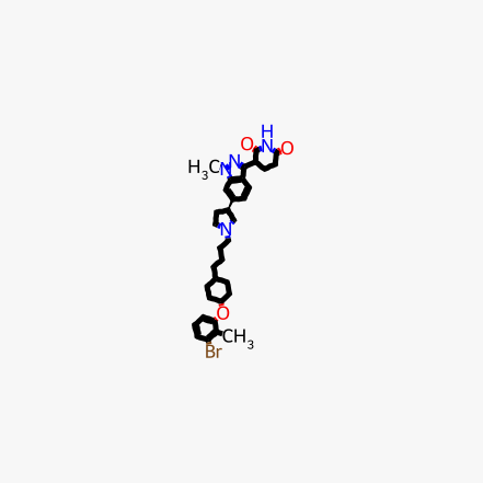 Cc1c(Br)cccc1OC1CCC(CCCCN2CC[C@@H](c3ccc4c(C5CCC(=O)NC5=O)nn(C)c4c3)C2)CC1